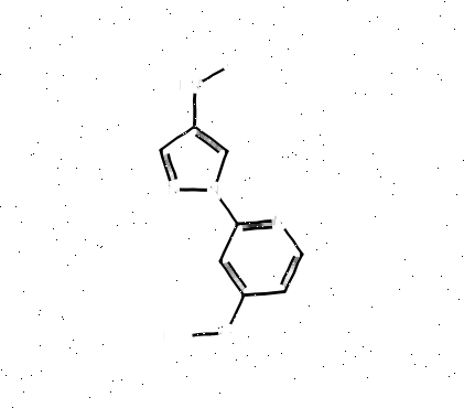 CNc1cnn(-c2cc(OC)ccn2)c1